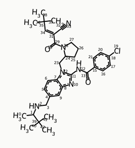 CC(NCc1ccc2c(c1)nc(NC(=O)c1ccc(Cl)cc1)n2CC1CCCN1C(=O)C(C#N)=CC(C)(C)C)C(C)(C)C